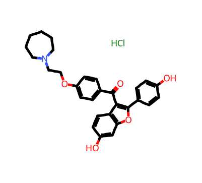 Cl.O=C(c1ccc(OCCN2CCCCCC2)cc1)c1c(-c2ccc(O)cc2)oc2cc(O)ccc12